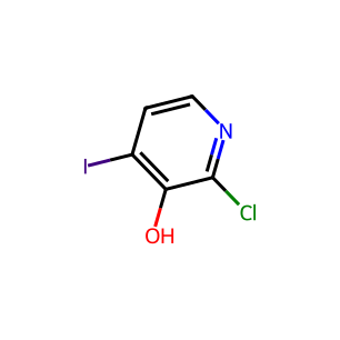 Oc1c(I)ccnc1Cl